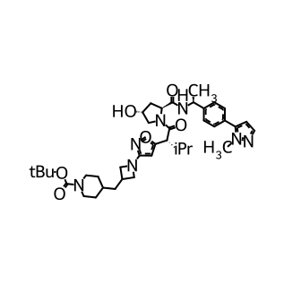 CC(C)[C@@H](C(=O)N1C[C@H](O)C[C@H]1C(=O)N[C@@H](C)c1ccc(-c2ccnn2C)cc1)c1cc(N2CC(CC3CCN(C(=O)OC(C)(C)C)CC3)C2)no1